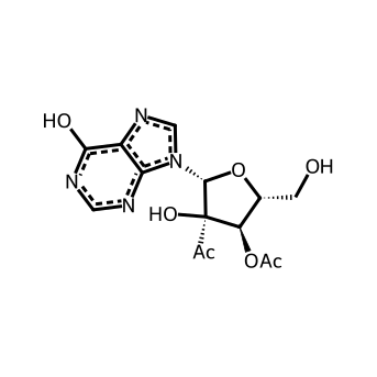 CC(=O)O[C@@H]1[C@@H](CO)O[C@@H](n2cnc3c(O)ncnc32)[C@@]1(O)C(C)=O